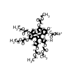 CC(=O)O.CCOC(=O)COc1csc(C2=C(c3ccc([O-])cc3)S(c3cc(OCC(=O)OCC)cs3)(c3cc(OCC(=O)OCC)cs3)C(c3cc(OCC(=O)OCC)cs3)=C2c2cc(OCC(=O)OCC)cs2)c1.[Na+]